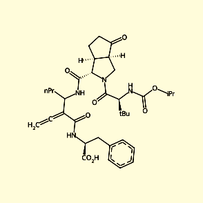 C=C=C(C(=O)N[C@@H](Cc1ccccc1)C(=O)O)C(CCC)NC(=O)[C@@H]1[C@H]2CCC(=O)[C@H]2CN1C(=O)[C@@H](NC(=O)OC(C)C)C(C)(C)C